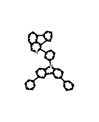 c1ccc(-c2ccc3c(c2)c2cc(-c4ccccc4)ccc2n3-c2cccc(-c3ncc4cccc5c4c3-c3ccccc3-5)c2)cc1